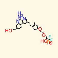 Cc1cc(OCCOCCC(F)(F)P(C)(=O)O)ccc1CCc1cnc2c(N)nc3cc(CCO)ccc3c2c1